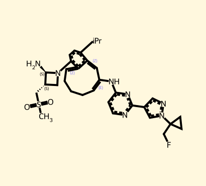 CC(C)c1ccc(N2C[C@H](CS(C)(=O)=O)[C@H]2N)c2/c1=C\C(Nc1ccnc(-c3cnn(C4(CF)CC4)c3)n1)=C/CCC/C=2